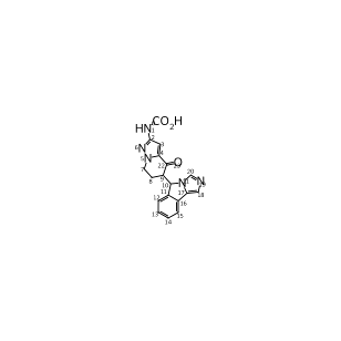 O=C(O)Nc1cc2n(n1)CCC(C1c3ccccc3-c3cncn31)C2=O